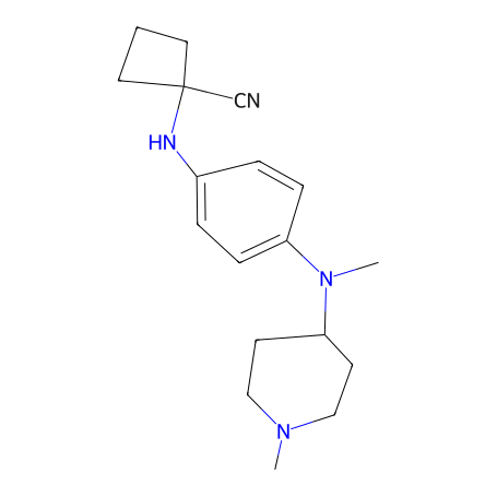 CN1CCC(N(C)c2ccc(NC3(C#N)CCC3)cc2)CC1